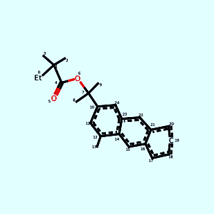 CCC(C)(C)C(=O)OC(C)(C)c1cc(C)c2cc3ccccc3cc2c1